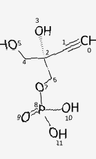 C#C[C@](O)(CO)COP(=O)(O)O